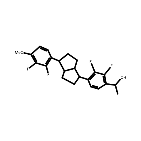 COc1ccc(C2CCC3C(c4ccc(C(C)O)c(F)c4F)CCC23)c(F)c1F